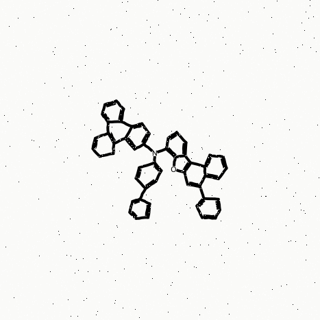 C1=Cc2c(c3cc(N(c4ccc(-c5ccccc5)cc4)c4cccc5c4oc4cc(-c6ccccc6)c6ccccc6c45)ccc3c3ccccc23)CC1